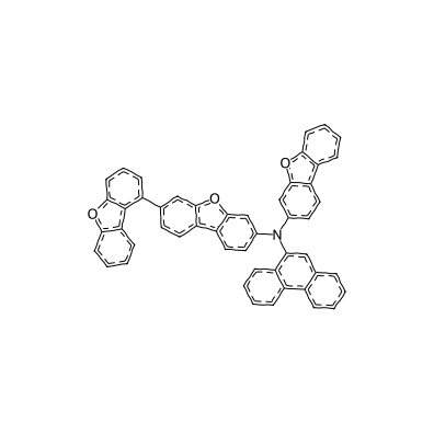 c1ccc2c(c1)cc(N(c1ccc3c(c1)oc1ccccc13)c1ccc3c(c1)oc1cc(-c4cccc5oc6ccccc6c45)ccc13)c1ccccc12